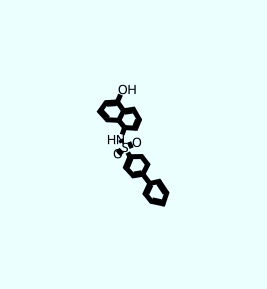 O=S(=O)(NC1C=CC=C2C(O)=CC=CC21)C1=CC=C(c2ccccc2)CC1